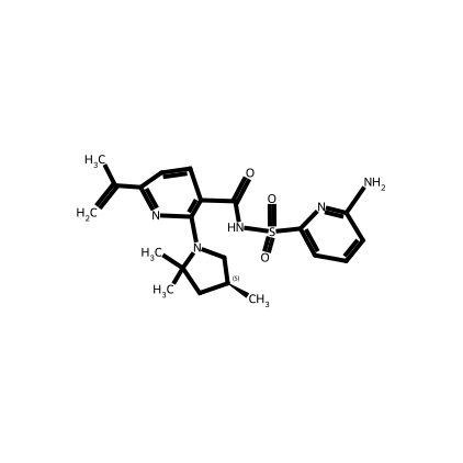 C=C(C)c1ccc(C(=O)NS(=O)(=O)c2cccc(N)n2)c(N2C[C@@H](C)CC2(C)C)n1